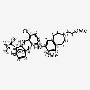 COCCN1CCc2cc(Nc3ncc(Cl)c(N[C@@H]4[C@H](C(=O)N(C)C)[C@H]5C=C[C@@H]4C5)n3)c(OC)cc2CC1